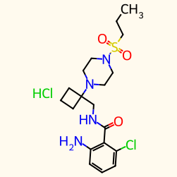 CCCS(=O)(=O)N1CCN(C2(CNC(=O)c3c(N)cccc3Cl)CCC2)CC1.Cl